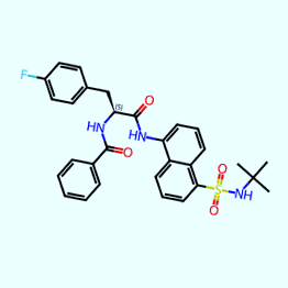 CC(C)(C)NS(=O)(=O)c1cccc2c(NC(=O)[C@H](Cc3ccc(F)cc3)NC(=O)c3ccccc3)cccc12